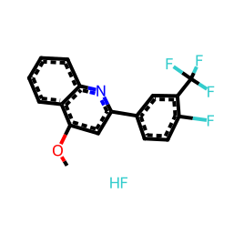 COc1cc(-c2ccc(F)c(C(F)(F)F)c2)nc2ccccc12.F